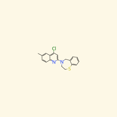 Cc1ccc2nc(N3CCSc4ccccc4C3)cc(Cl)c2c1